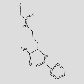 NC(=O)C(CCCNC(=O)CF)NC(=O)c1ccccc1